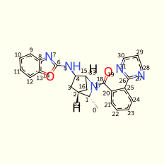 C[C@@H]1[C@@H]2C[C@@H](Nc3nc4ccccc4o3)[C@H](C2)N1C(=O)c1ccccc1-c1ncccn1